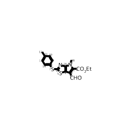 CCOC(=O)c1c(C=O)c2sc(Sc3ccc(C)cc3)nc2n1C